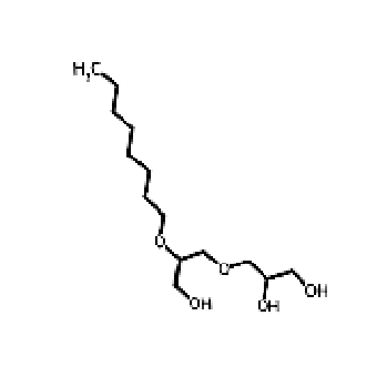 CCCCCCCCOC(CO)COCC(O)CO